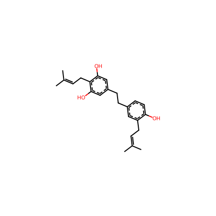 CC(C)=CCc1cc(CCc2cc(O)c(CC=C(C)C)c(O)c2)ccc1O